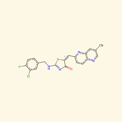 N#Cc1cnc2ccc(/C=C3/SC(NCc4ccc(F)c(Cl)c4)=NC3=O)nc2c1